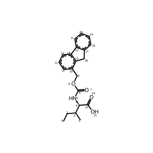 CCC(C)[C@@H](NC(=O)OCc1cccc2c1Cc1ccccc1-2)C(=O)O